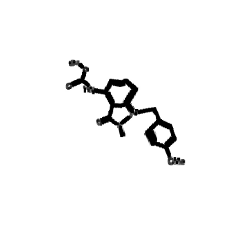 COc1ccc(Cn2c3cccc(NC(=O)OC(C)(C)C)c3c(=O)n2C)cc1